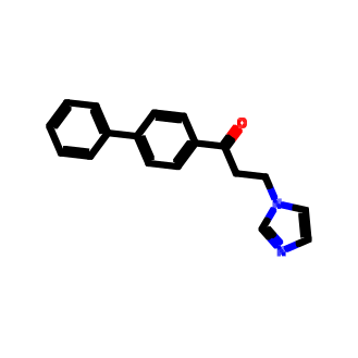 O=C(CCn1ccnc1)c1ccc(-c2ccccc2)cc1